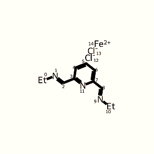 CCN=Cc1cccc(C=NCC)n1.[Cl-].[Cl-].[Fe+2]